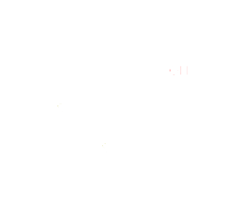 OCC1CSCSC1